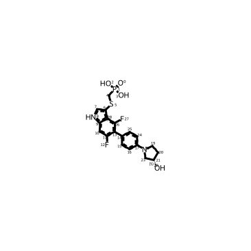 O=P(O)(O)CSc1c[nH]c2cc(F)c(-c3ccc(N4CC[C@H](O)C4)cc3)c(F)c12